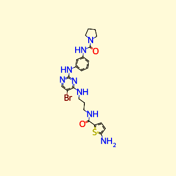 Nc1ccc(C(=O)NCCCNc2nc(Nc3cccc(NC(=O)N4CCCC4)c3)ncc2Br)s1